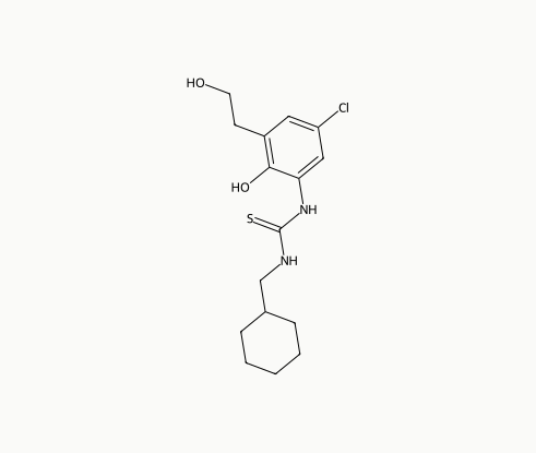 OCCc1cc(Cl)cc(NC(=S)NCC2CCCCC2)c1O